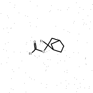 CCC(=O)OC1(CC)CC2CCC1C2